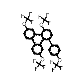 FC(F)(F)Oc1ccc(-c2ccc(OC(F)(F)F)c3c4cc(OC(F)(F)F)ccc4c4ccc(OC(F)(F)F)cc4c23)cc1